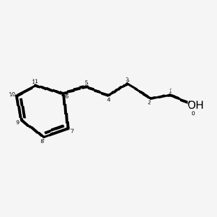 OCCCCCC1C=CC=CC1